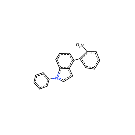 O=[N+]([O-])c1ccccc1-c1cccc2c1ccn2-c1ccccc1